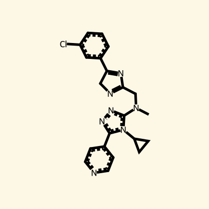 CN(CC1=NCC(c2cccc(Cl)c2)=N1)c1nnc(-c2ccncc2)n1C1CC1